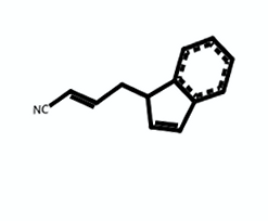 N#CC=CCC1C=Cc2ccccc21